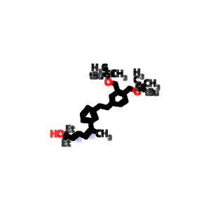 CCC(O)(/C=C/C=C(/C)c1cccc(CCc2ccc(CO[Si](C)(C)C(C)(C)C)c(CO[Si](C)(C)C(C)(C)C)c2)c1)CC